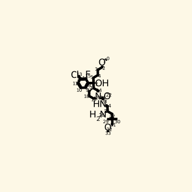 COCCCC[C@@](O)(c1cccc(Cl)c1F)[C@@H]1CCCN(C(=O)NC[C@H](N)CC(C)(C)COC)C1